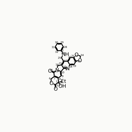 CC[C@@]1(O)C(=O)OCc2c1cc1n(c2=O)Cc2c-1nc1cc3c(cc1c2CNc1ccccc1)OCO3